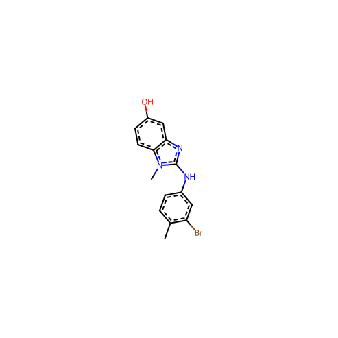 Cc1ccc(Nc2nc3cc(O)ccc3n2C)cc1Br